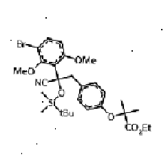 CCOC(=O)C(C)(C)Oc1ccc(CC(C#N)(O[Si](C)(C)C(C)(C)C)c2c(OC)ccc(Br)c2OC)cc1